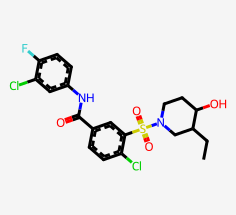 CCC1CN(S(=O)(=O)c2cc(C(=O)Nc3ccc(F)c(Cl)c3)ccc2Cl)CCC1O